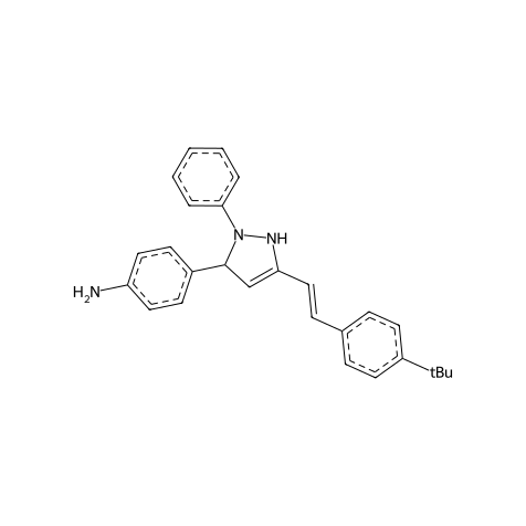 CC(C)(C)c1ccc(C=CC2=CC(c3ccc(N)cc3)N(c3ccccc3)N2)cc1